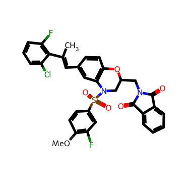 COc1ccc(S(=O)(=O)N2CC(CN3C(=O)c4ccccc4C3=O)Oc3ccc(C=C(C)c4c(F)cccc4Cl)cc32)cc1F